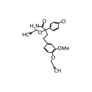 C#CCOc1ccc(CCC(OCC#C)(C(N)=O)c2ccc(Cl)cc2)cc1OC